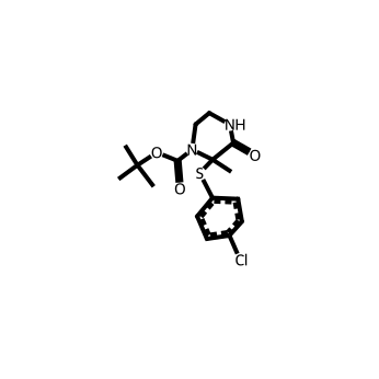 CC(C)(C)OC(=O)N1CCNC(=O)C1(C)Sc1ccc(Cl)cc1